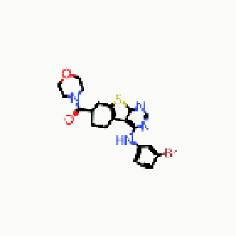 O=C(C1CCc2c(sc3ncnc(Nc4cccc(Br)c4)c23)C1)N1CCOCC1